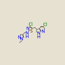 CCn1cc(CNc2nc(Cl)c(CC3CNc4ncc(Cl)cc43)s2)cn1